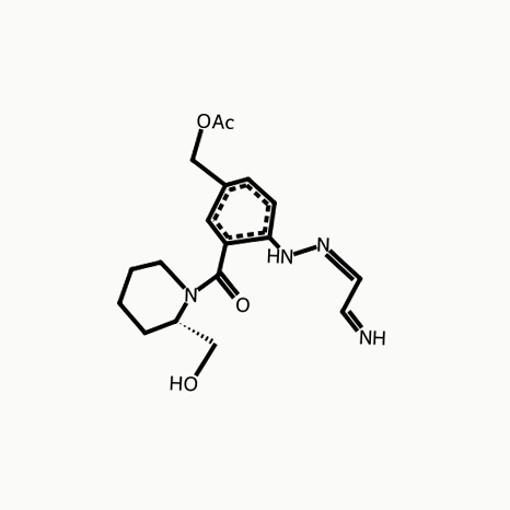 CC(=O)OCc1ccc(N/N=C\C=N)c(C(=O)N2CCCC[C@H]2CO)c1